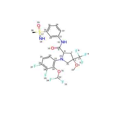 COC1(C(F)(F)F)CC(C(=O)Nc2cccc([S@](C)(=N)=O)c2)N(c2ccc(F)c(F)c2OC(F)F)C1